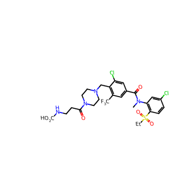 CCS(=O)(=O)c1ccc(Cl)cc1N(C)C(=O)c1cc(Cl)c(CN2CCN(C(=O)CCNC(=O)O)CC2)c(C(F)(F)F)c1